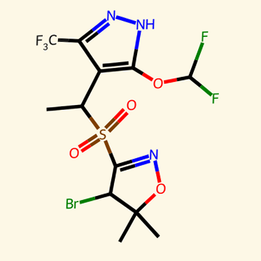 CC(c1c(C(F)(F)F)n[nH]c1OC(F)F)S(=O)(=O)C1=NOC(C)(C)C1Br